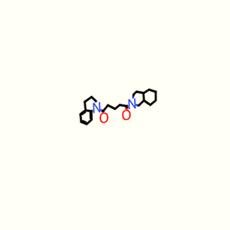 O=C(CCCC(=O)N1CCCc2ccccc21)N1CCC2CCCCC2C1